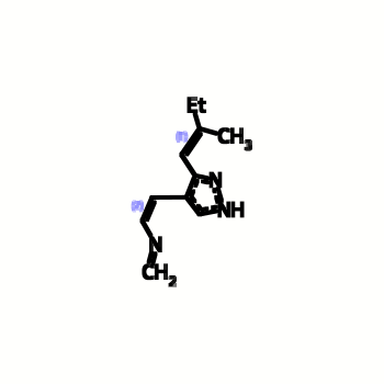 C=N/C=C\c1c[nH]nc1/C=C(\C)CC